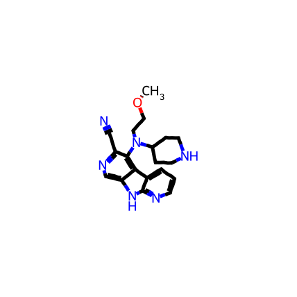 COCCN(c1c(C#N)ncc2[nH]c3ncccc3c12)C1CCNCC1